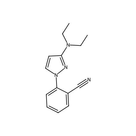 CCN(CC)c1ccn(-c2ccccc2C#N)n1